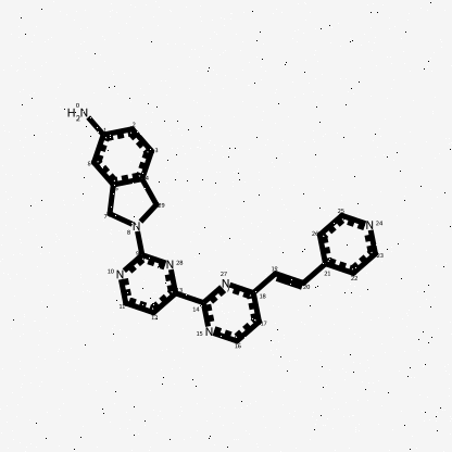 Nc1ccc2c(c1)CN(c1nccc(-c3nccc(/C=C/c4ccncc4)n3)n1)C2